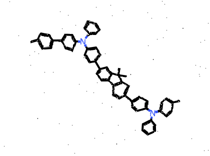 Cc1ccc(-c2ccc(N(c3ccccc3)c3ccc(-c4ccc5c(c4)C(C)(C)c4cc(-c6ccc(N(c7ccccc7)c7ccc(C)cc7)cc6)ccc4-5)cc3)cc2)cc1